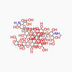 CC1C(O)[C@H](O[C@@H]2OC(CO)[C@H](O)C(O[C@]3(C(=O)O)C[C@@H](O)[C@@H](N)C([C@H](O)[C@H](O)CO)O3)[C@@H]2O)[C@H](CO)O[C@H]1O[C@@H]1C(O)[C@H](O)C(CO)O[C@@H]1OCC1O[C@@H](O[C@@H]2C(CO)O[C@@H](O[C@@H]3C(CO)O[C@@H](C)[C@@H](C)C3O)[C@@H](C)C2O)[C@H](O)C(O[C@H]2O[C@H](CO)[C@@H](O)C(O)C2O[C@@H]2OC(CO)[C@@H](O[C@@H]3OC(CO[C@]4(C(=O)O)C[C@@H](O)[C@@H](N)C([C@H](O)[C@H](O)CO)O4)[C@H](O)C(O)[C@@H]3O)C(O)[C@@H]2C)[C@@H]1O